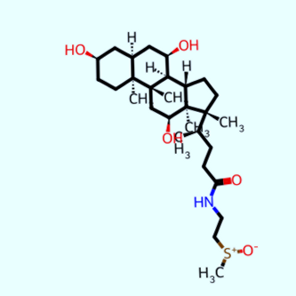 C[C@H](CCC(=O)NCC[S+](C)[O-])[C@@]1(C)CC[C@H]2[C@@H]3[C@H](O)C[C@@H]4C[C@H](O)CC[C@]4(C)[C@@]3(C)C[C@H](O)[C@@]21C